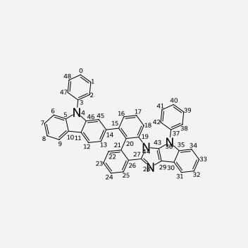 c1ccc(-n2c3ccccc3c3ccc(-c4cccc5c4c4ccccc4c4nc6c7ccccc7n(-c7ccccc7)c6n54)cc32)cc1